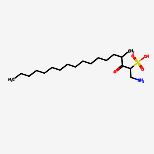 CCCCCCCCCCCCCCC(C)C(=O)C(CN)S(=O)(=O)O